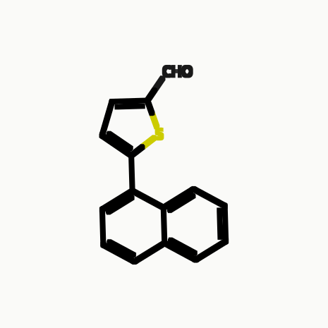 O=Cc1ccc(-c2cccc3ccccc23)s1